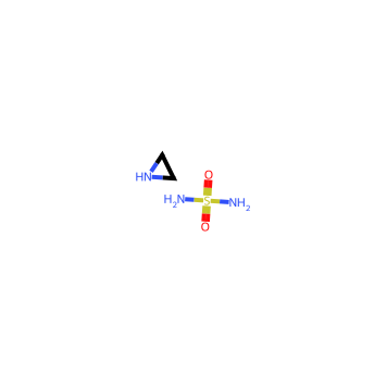 C1CN1.NS(N)(=O)=O